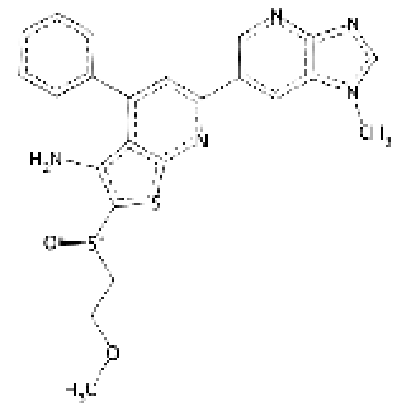 COCC[S@@+]([O-])c1sc2nc(-c3cnc4ncn(C)c4c3)cc(-c3ccccc3)c2c1N